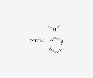 CN(C)c1ccccc1.[Cl-].[Cl-].[Zr+2]